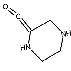 O=C=C1CNCCN1